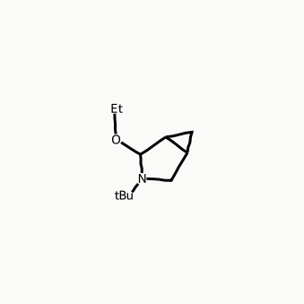 CCOC1C2CC2CN1C(C)(C)C